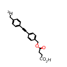 [2H]Cc1ccc(C#Cc2ccc(COC(=O)CCC(=O)O)cc2)cc1